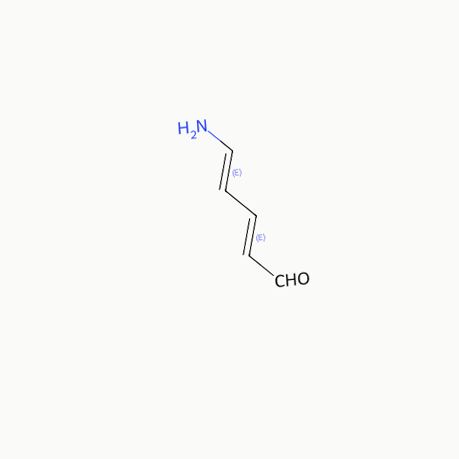 N/C=C/C=C/C=O